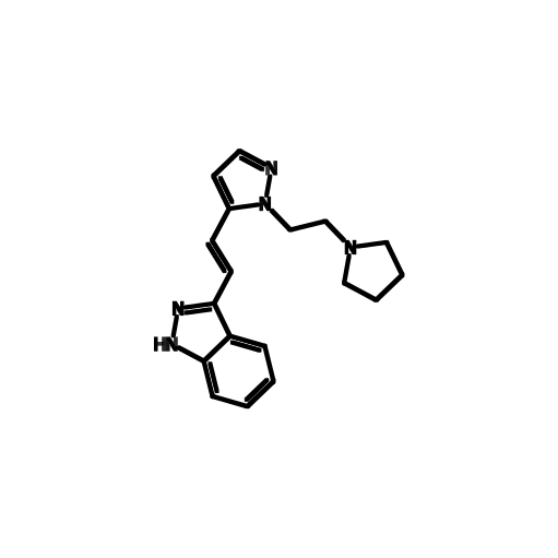 C(=C\c1ccnn1CCN1CCCC1)/c1n[nH]c2ccccc12